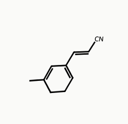 CC1=CC(/C=C/C#N)=CCC1